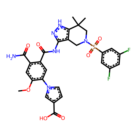 COc1cc(C(N)=O)c(C(=O)Nc2n[nH]c3c2CN(S(=O)(=O)c2cc(F)cc(F)c2)CC3(C)C)cc1-n1ccc(C(=O)O)c1